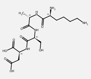 C[C@H](NC(=O)[C@@H](N)CCCCN)C(=O)N[C@@H](CO)C(=O)N[C@@H](CC(=O)O)C(=O)O